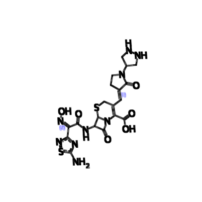 Nc1nc(/C(=N/O)C(=O)NC2C(=O)N3C(C(=O)O)=C(/C=C4\CCN(C5CNNC5)C4=O)CSC23)ns1